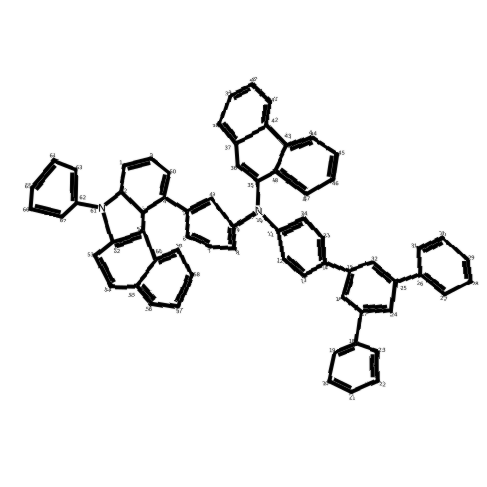 C1=CC2C(C(c3cccc(N(c4ccc(-c5cc(-c6ccccc6)cc(-c6ccccc6)c5)cc4)c4cc5ccccc5c5ccccc45)c3)=C1)c1c(ccc3ccccc13)N2c1ccccc1